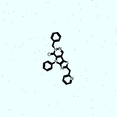 O=c1c2c(cnn1Cc1ccccc1)c1sc(Cc3ccccn3)nc1n2-c1ccccc1